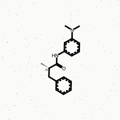 [CH2][C@@H](Cc1ccccc1)C(=O)Nc1cccc(N(C)C)c1